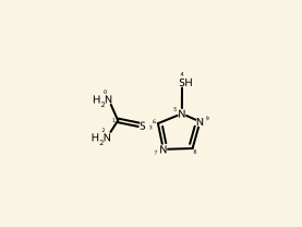 NC(N)=S.Sn1cncn1